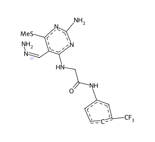 CSc1nc(N)nc(NCC(=O)Nc2cccc(C(F)(F)F)c2)c1/C=N\N